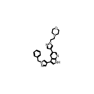 c1ccc(Cn2cc(-c3c[nH]c4ncc(-c5cnn(CCN6CCOCC6)c5)cc34)cn2)cc1